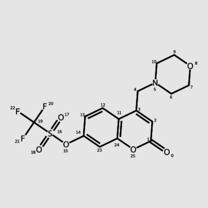 O=c1cc(CN2CCOCC2)c2ccc(OS(=O)(=O)C(F)(F)F)cc2o1